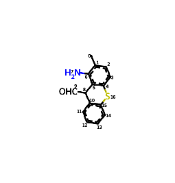 Cc1ccc2c(c1N)C(C=O)c1ccccc1S2